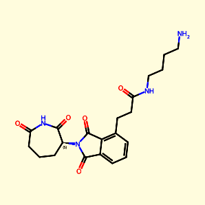 NCCCCNC(=O)CCc1cccc2c1C(=O)N([C@H]1CCCC(=O)NC1=O)C2=O